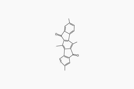 Cc1ccc2c(c1)c(=O)c1c(C)c3c(c(C)c12)c(=O)c1cc(C)ccc13